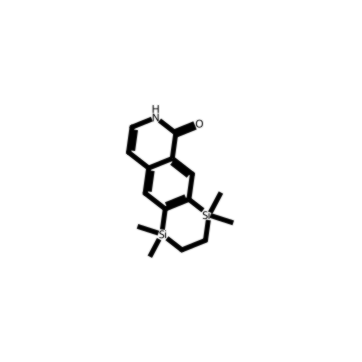 C[Si]1(C)CC[Si](C)(C)c2cc3c(=O)[nH]ccc3cc21